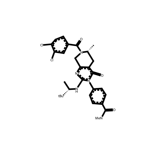 CNC(=O)c1ccc(-n2c(N[C@@H](C)C(C)(C)C)nc3c(c2=O)C[C@@H](C)N(C(=O)c2ccc(Cl)c(Cl)c2)C3)cc1